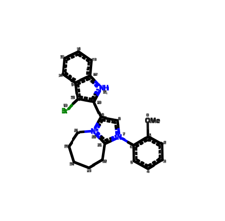 COc1ccccc1-n1cc(-c2[nH]c3ccccc3c2Br)[n+]2c1CCCCC2